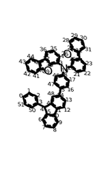 c1ccc(C2c3ccccc3-c3ccc(-c4ccc(N(c5cccc6c5oc5ccccc56)c5cccc6c5oc5ccccc56)cc4)cc32)cc1